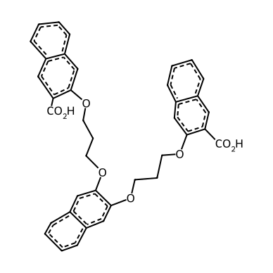 O=C(O)c1cc2ccccc2cc1OCCCOc1cc2ccccc2cc1OCCCOc1cc2ccccc2cc1C(=O)O